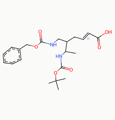 CC(NC(=O)OC(C)(C)C)C(C/C=C/C(=O)O)CNC(=O)OCc1ccccc1